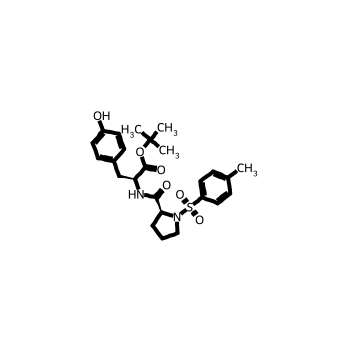 Cc1ccc(S(=O)(=O)N2CCC[C@H]2C(=O)N[C@@H](Cc2ccc(O)cc2)C(=O)OC(C)(C)C)cc1